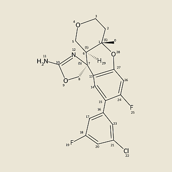 C[C@]12CCOC[C@@H]1[C@@]1(COC(N)=N1)c1cc(-c3cc(F)cc(Cl)c3)c(F)cc1O2